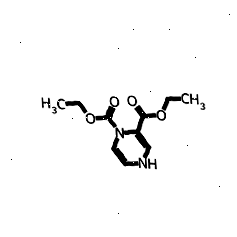 CCOC(=O)C1=CNC=CN1C(=O)OCC